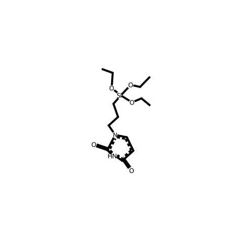 CCO[Si](CCCn1ccc(=O)[nH]c1=O)(OCC)OCC